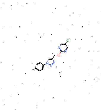 Cc1ccc(-n2cc(COc3ncc(Cl)cn3)nn2)cc1